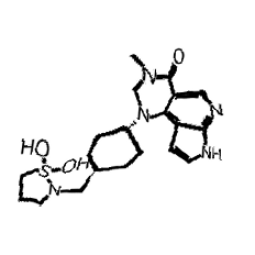 CN1CN([C@H]2CC[C@H](CN3CCCS3(O)O)CC2)c2c(cnc3[nH]ccc23)C1=O